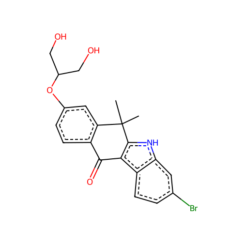 CC1(C)c2cc(OC(CO)CO)ccc2C(=O)c2c1[nH]c1cc(Br)ccc21